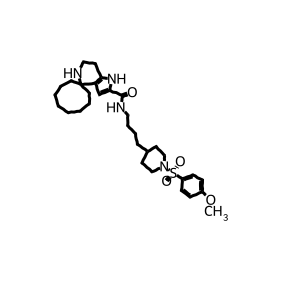 COc1ccc(S(=O)(=O)N2CCC(CCCCNC(=O)c3cc4c([nH]3)CCNC43CCCCCCCC3)CC2)cc1